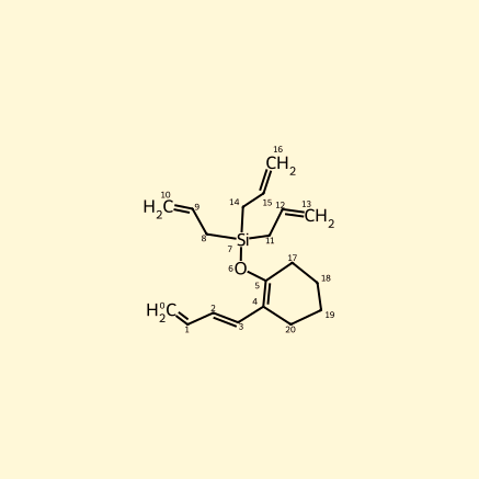 C=CC=CC1=C(O[Si](CC=C)(CC=C)CC=C)CCCC1